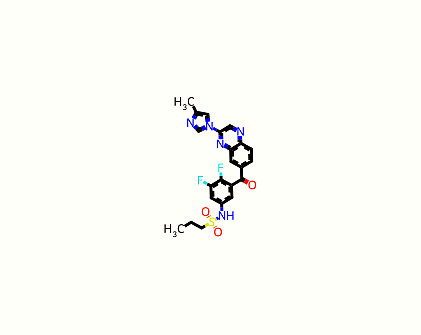 CCCS(=O)(=O)Nc1cc(F)c(F)c(C(=O)c2ccc3ncc(-n4cnc(C)c4)nc3c2)c1